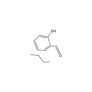 CCCC.O=Cc1ccccc1O